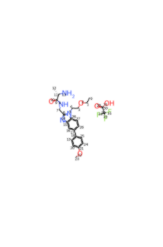 CCOCCn1c(CNC(=O)[C@H](C)N)nc2cc(-c3ccc(OC)cc3)ccc21.O=C(O)C(F)(F)F